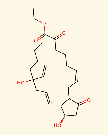 C=CC(O)(C/C=C/[C@H]1[C@H](O)CC(=O)[C@@H]1C/C=C\CCCC(=O)C(=O)OCC)CCCC